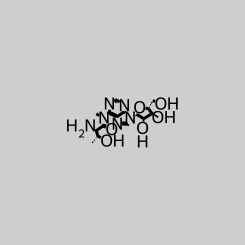 C[C@@H](O)[C@H](N)C(=O)N(C)c1ncnc2c1ncn2[C@@H]1O[C@H](CO)[C@@H](O)[C@H]1O